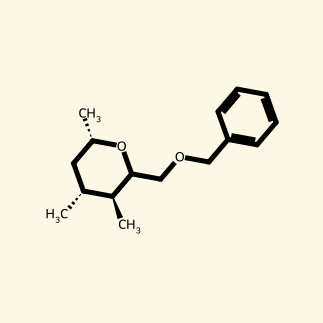 C[C@@H]1C[C@H](C)OC(COCc2ccccc2)[C@H]1C